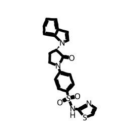 O=C1[C@@H](n2ccc3ccccc32)CCN1c1ccc(S(=O)(=O)Nc2nccs2)cc1